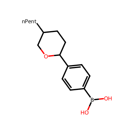 CCCCCC1CCC(c2ccc(B(O)O)cc2)OC1